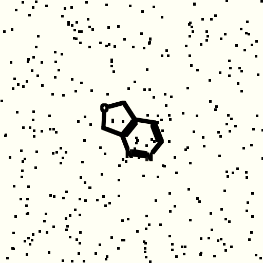 [c]1cnnc2c1COC2